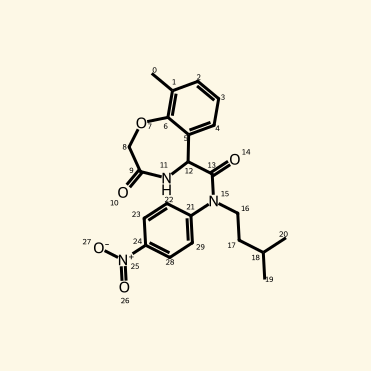 Cc1cccc2c1OCC(=O)NC2C(=O)N(CCC(C)C)c1ccc([N+](=O)[O-])cc1